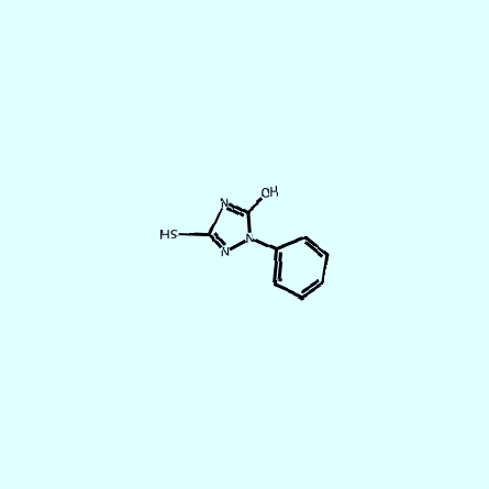 Oc1nc(S)nn1-c1ccccc1